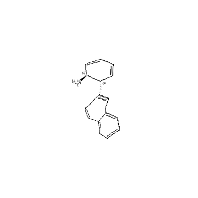 N[C@H]1C=CC=C[C@@H]1c1ccc2ccccc2c1